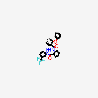 O=C(Nc1cccc(C(F)(F)F)c1)c1ccccc1NC(=O)c1ccccc1Oc1ccccc1